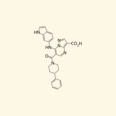 O=C(O)c1cnn2c(Nc3ccc4cc[nH]c4c3)c(C(=O)N3CCC(c4ccccc4)CC3)cnc12